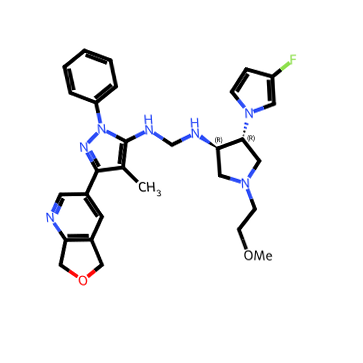 COCCN1C[C@@H](n2ccc(F)c2)[C@H](NCNc2c(C)c(-c3cnc4c(c3)COC4)nn2-c2ccccc2)C1